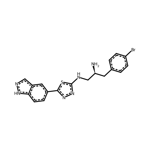 N[C@H](CNc1nnc(-c2ccc3[nH]ncc3c2)s1)Cc1ccc(Br)cc1